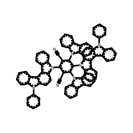 N#Cc1c(-n2c3ccccc3c3ccccc32)c(-n2c3ccccc3c3c4c5ccccc5n(-c5ccccc5)c4ccc32)c(-n2c3ccccc3c3ccccc32)c(C#N)c1-n1c2ccccc2c2c3c4ccccc4n(-c4ccccc4)c3ccc21